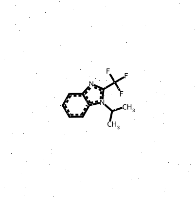 CC(C)n1c(C(F)(F)F)nc2c[c]ccc21